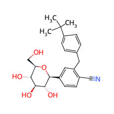 CC(C)(C)c1ccc(Cc2cc([C@@H]3O[C@H](CO)[C@@H](O)[C@H](O)[C@H]3O)ccc2C#N)cc1